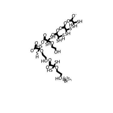 O=C([O-])C(S)(S)OCCO.O=C([O-])C(S)(S)OCCO.O=C([O-])C(S)(S)OCCO.O=C([O-])[C](S)S.O=C([O-])[C](S)S.O=C([O-])[C](S)S.[Bi+3].[Bi+3]